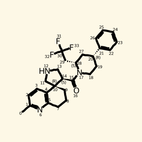 Cc1ccc2c(n1)CCC[C@]21CNC[C@H]1C(=O)N1CC[C@@H](c2ccccc2)C[C@H]1CC(F)(F)F